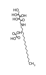 CCCCCCCCCCCCCCCCCCNCC(=O)[C@@H](O)[C@H](O)[C@H](O)CO.O=C(O)C(=O)O